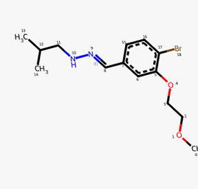 COCCOc1cc(/C=N/NCC(C)C)ccc1Br